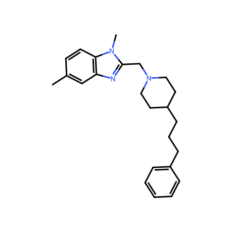 Cc1ccc2c(c1)nc(CN1CCC(CCCc3ccccc3)CC1)n2C